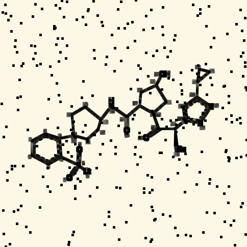 CCS(=O)(=O)c1ccccc1N1CCC(NC(=O)C2CC(O)CN2C(=O)[C@@H](n2cc(C3CC3)nn2)C(C)(C)C)CC1